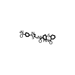 CN(C)C(=O)c1ccc(-c2ncc(CNC(=O)c3ccc4c(c3)NC(=O)c3ccccc3S4)s2)cc1